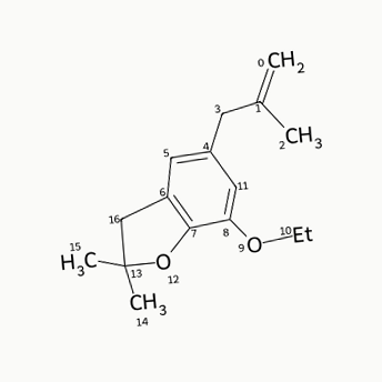 C=C(C)Cc1cc2c(c(OCC)c1)OC(C)(C)C2